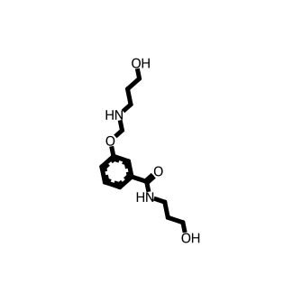 O=C(NCCCO)c1cccc(OCNCCCO)c1